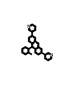 Cc1ccccc1-c1c2ccc(-c3cccnc3)cc2cc2cc(-c3cccnc3)ccc12